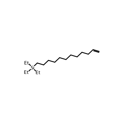 C=CCCCCCCCCCC[Si](CC)(CC)CC